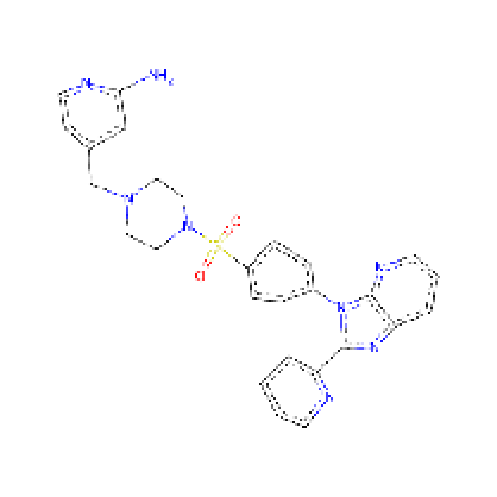 Nc1cc(CN2CCN(S(=O)(=O)c3ccc(-n4c(-c5ccccn5)nc5cccnc54)cc3)CC2)ccn1